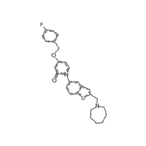 O=c1cc(OCc2ccc(F)cc2)ccn1-c1ccc2oc(CN3CCCCCC3)cc2c1